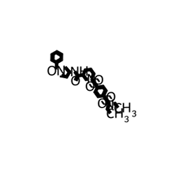 CCN(CC)S(=O)(=O)c1ccc(S(=O)(=O)N2CCCC(C(=O)NC3CCN(C(=O)c4ccccc4)C3)C2)cc1